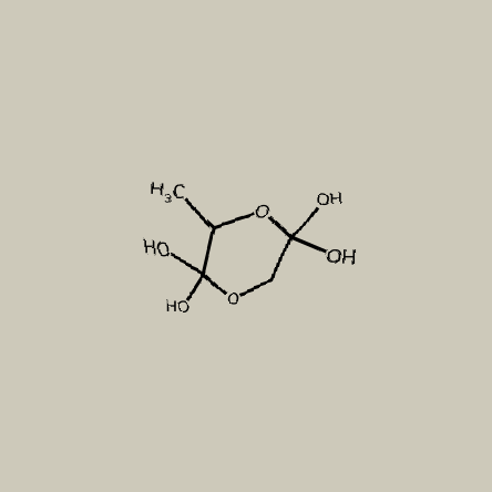 CC1OC(O)(O)COC1(O)O